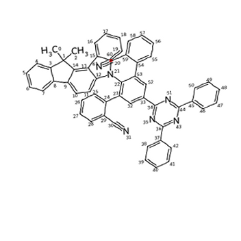 CC1(C)c2ccccc2-c2ccc3c(c21)c1ccccc1n3-c1c(-c2ccccc2C#N)cc(-c2nc(-c3ccccc3)nc(-c3ccccc3)n2)cc1-c1ccccc1C#N